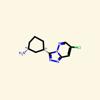 N[C@@H]1CCC[C@H](c2nnc3cc(Cl)cnn23)C1